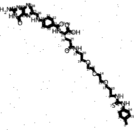 Cc1ccc(NC(=S)NCCCOCCOCCOCCCNC(=O)CC[C@H](NC(=O)c2ccc(NCc3cnc4nc(N)[nH]c(=O)c4n3)cc2)C(=O)O)cc1